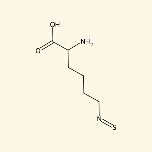 NC(CCCCN=S)C(=O)O